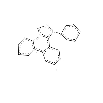 [Cl-].c1ccc(-n2nc[n+]3c4ccccc4c4ccccc4c23)cc1